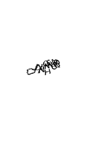 CCOC(=O)C(=NOC)c1csc(NC(=O)c2cnc(-c3ccccc3)nc2)n1